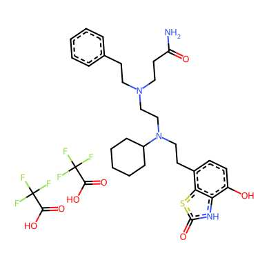 NC(=O)CCN(CCc1ccccc1)CCN(CCc1ccc(O)c2[nH]c(=O)sc12)C1CCCCC1.O=C(O)C(F)(F)F.O=C(O)C(F)(F)F